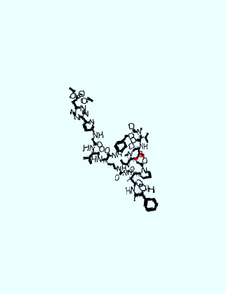 CCOP(=O)(Cc1nnc(-c2ccc(NCC(=O)N[C@H](C(=O)N[C@@H](CCCNC(N)=O)C(=O)Nc3ccc(COC(=O)N(C)[C@H](C(=O)N[C@H](C(=O)N(C)[C@@H]([C@@H](C)CC)[C@@H](CC(=O)N4CCC[C@H]4[C@H](OC)[C@@H](C)C(=O)N[C@H](C)[C@@H](O)c4ccccc4)OC)C(C)C)C(C)C)cc3)C(C)C)cn2)nn1)OCC